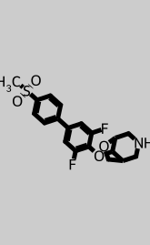 CS(=O)(=O)c1ccc(-c2cc(F)c(OC3C4CNCC3OC4)c(F)c2)cc1